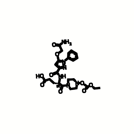 CCOC(=O)ON1CCN(C(=O)[C@H](CCC(=O)O)NC(=O)c2cc(OCC(N)=O)n(-c3ccccc3)n2)CC1